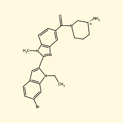 CCn1c(-c2nc3cc(C(=O)N4CCC[C@@H](N)C4)ccc3n2C)cc2ccc(Br)cc21